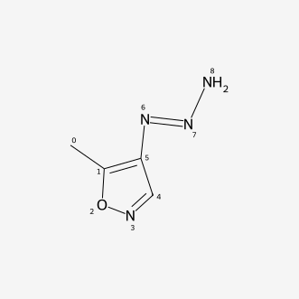 Cc1oncc1N=NN